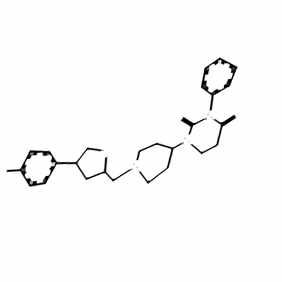 O=C1CCN(C2CCN(CC3CC(c4ccc(F)cc4)CO3)CC2)C(=O)N1c1ccccc1